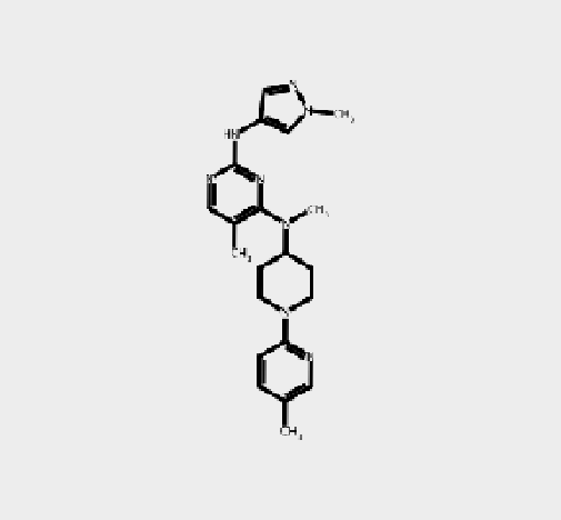 Cc1ccc(N2CCC(N(C)c3nc(Nc4cnn(C)c4)ncc3C)CC2)nc1